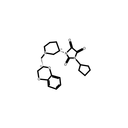 O=C1C(=O)N([C@H]2CCCN(C[C@H]3COc4ccccc4O3)C2)C(=O)N1C1CCCC1